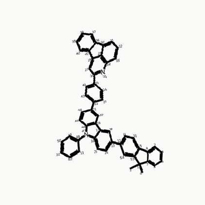 CC1(C)c2ccccc2-c2ccc(-c3ccc4c(c3)c3cc(-c5ccc(-c6cc7c8c(cccc8n6)-c6ccccc6-7)cc5)ccc3n4-c3ccccc3)cc21